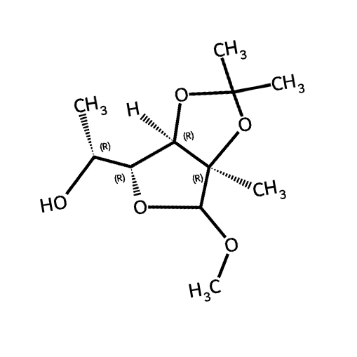 COC1O[C@H]([C@@H](C)O)[C@H]2OC(C)(C)O[C@@]12C